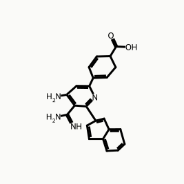 N=C(N)c1c(N)cc(C2=CCC(C(=O)O)C=C2)nc1-c1ccc2ccccc2c1